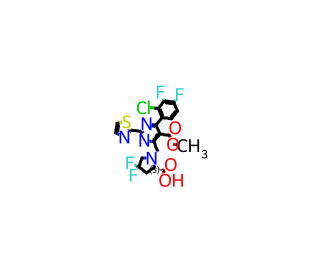 COC(=O)c1c(CN2CC(F)(F)C[C@H]2C(=O)O)nc(-c2nccs2)nc1-c1ccc(F)c(F)c1Cl